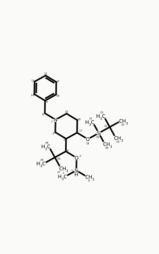 C[SiH](C)OC(C1CN(Cc2ccccc2)CCC1O[Si](C)(C)C(C)(C)C)C(C)(C)C